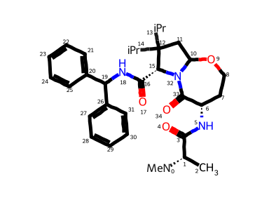 CN[C@@H](C)C(=O)N[C@H]1CCOC2CC(C(C)C)(C(C)C)[C@@H](C(=O)NC(c3ccccc3)c3ccccc3)N2C1=O